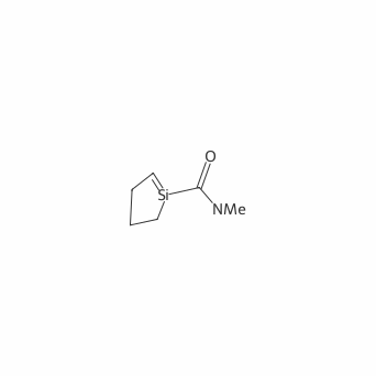 CNC(=O)[Si]1=CCCC1